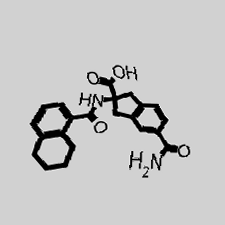 NC(=O)c1ccc2c(c1)CC(NC(=O)c1cccc3c1CCCC3)(C(=O)O)C2